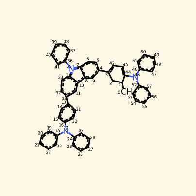 CC1CC(c2ccc3c(c2)c2cc(-c4ccc(N(c5ccccc5)c5ccccc5)cc4)ccc2n3-c2ccccc2)=CC=C1N(c1ccccc1)c1ccccc1